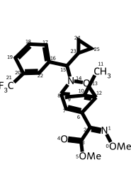 CON=C(C(=O)OC)c1cc2cc(C)c1ON2C(c1cccc(C(F)(F)F)c1)C1CC1